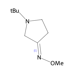 CO/N=C1\CCN(C(C)(C)C)C1